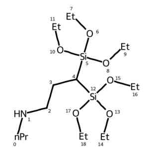 CCCNCCC([Si](OCC)(OCC)OCC)[Si](OCC)(OCC)OCC